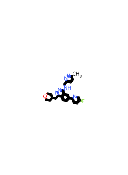 Cc1ccc(CNc2nnc(CC3CCOCC3)c3ccc(-c4ccc(F)cn4)cc23)nn1